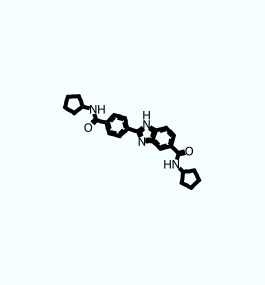 O=C(NC1CCCC1)c1ccc(-c2nc3cc(C(=O)NC4CCCC4)ccc3[nH]2)cc1